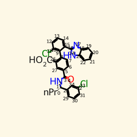 CCC[C@H](NC(=O)c1ccc(-c2c(Cl)cccc2-c2nc3ccccc3[nH]2)c(C(=O)O)c1)c1cccc(Cl)c1